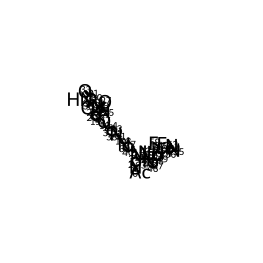 CC(=O)N1CCC(NC2CCN(CCN3CCC(COc4cccc5c4n(C)c(=O)n5C4CCC(=O)NC4=O)CC3)CC2)=C(C(=N)N2CCCc3cc(-c4cnn(C)c4)c(C(F)F)cc32)C1